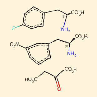 N[C@@H](Cc1ccc(F)cc1)C(=O)O.N[C@@H](Cc1cccc([N+](=O)[O-])c1)C(=O)O.O=C(O)CC(=O)C(=O)O